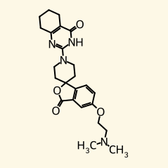 CN(C)CCOc1ccc2c(c1)C(=O)OC21CCN(c2nc3c(c(=O)[nH]2)CCCC3)CC1